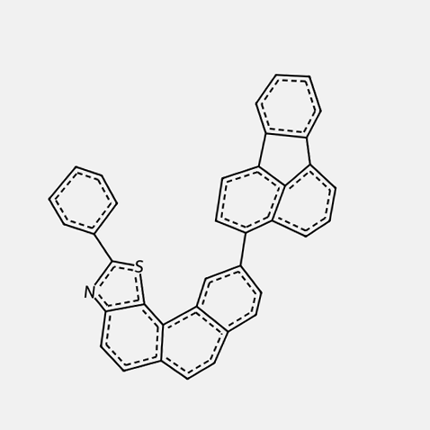 c1ccc(-c2nc3ccc4ccc5ccc(-c6ccc7c8c(cccc68)-c6ccccc6-7)cc5c4c3s2)cc1